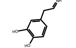 N=CCc1ccc(O)c(O)c1